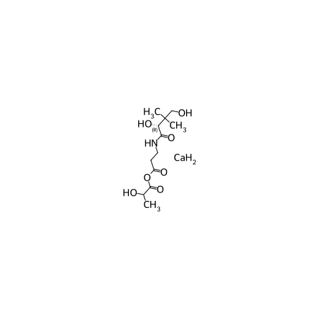 CC(O)C(=O)OC(=O)CCNC(=O)[C@H](O)C(C)(C)CO.[CaH2]